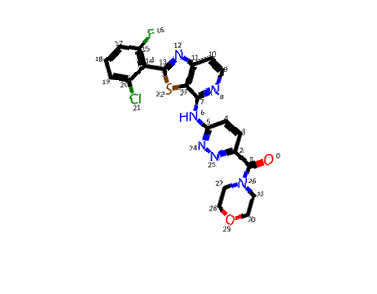 O=C(c1ccc(Nc2nccc3nc(-c4c(F)cccc4Cl)sc23)nn1)N1CCOCC1